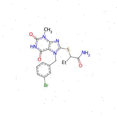 CCC(Sc1nc2c(c(=O)[nH]c(=O)n2C)n1Cc1cccc(Br)c1)C(N)=O